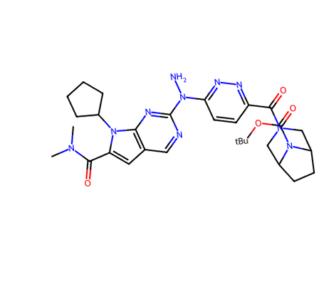 CN(C)C(=O)c1cc2cnc(N(N)c3ccc(C(=O)N4CC5CCC(C4)N5C(=O)OC(C)(C)C)nn3)nc2n1C1CCCC1